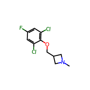 CN1CC(COc2c(Cl)cc(F)cc2Cl)C1